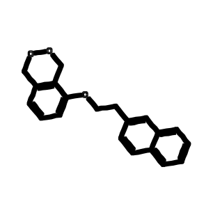 c1cc2c(c(OCCc3ccc4ccccc4c3)c1)COOC2